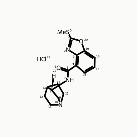 CSc1nc2c(C(=O)N[C@@H]3CN4CCC3CC4)cccc2o1.Cl